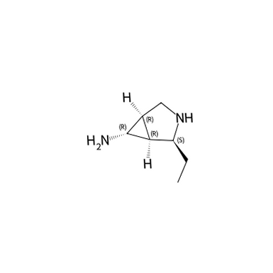 CC[C@@H]1NC[C@@H]2[C@@H](N)[C@@H]21